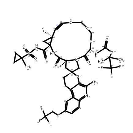 Cc1nc2ccc(OCC(F)(F)F)cc2c2c1O[C@]1(CC2)C[C@H]2C(=O)N[C@]3(C(=O)NS(=O)(=O)C4(C)CC4)C[C@H]3/C=C\CCCCC[C@H](NC(=O)OC(C)(C)C(F)(F)F)C(=O)N2C1